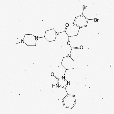 CN1CCN(C2CCN(C(=O)C(Cc3ccc(Br)c(Br)c3)OC(=O)N3CCC(n4nc(-c5ccccc5)[nH]c4=O)CC3)CC2)CC1